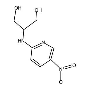 O=[N+]([O-])c1ccc(NC(CO)CO)nc1